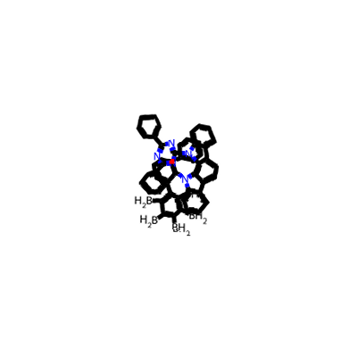 Bc1c(B)c(B)c(-c2cccc(-c3ccccc3)c2-n2c3ccccc3c3ccc4c5ccccc5n(-c5nc(-c6ccccc6)nc(-c6ccccc6)n5)c4c32)c(B)c1B